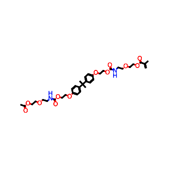 C=C(C)C(=O)OCCOCCNC(=O)OCCOc1ccc(C(C)(C)c2ccc(OCCOC(=O)NCCOCCOC(C)=O)cc2)cc1